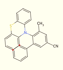 Cc1cc(C#N)cc(-c2ccccc2)c1N1c2ccccc2Sc2ccccc21